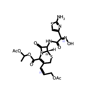 CC(=O)OC/C=C\C1=C(C(=O)OC(C)OC(C)=O)N2C(=O)C(NC(=O)/C(=N\O)c3csc(N)n3)[C@@H]2SC1